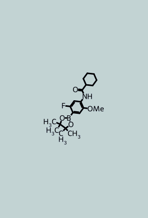 COc1cc(B2OC(C)(C)C(C)(C)O2)c(F)cc1NC(=O)C1CCCCC1